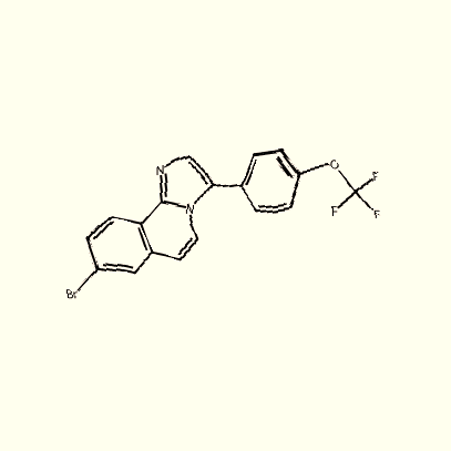 FC(F)(F)Oc1ccc(-c2cnc3c4ccc(Br)cc4ccn23)cc1